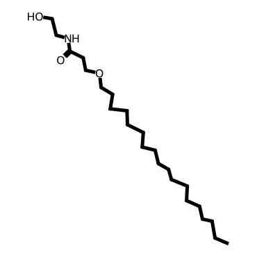 CCCCCCCCCCCCCCCCCCOCCC(=O)NCCO